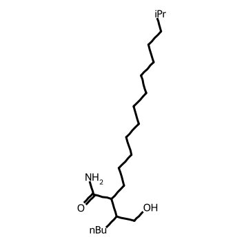 CCCCC(CO)C(CCCCCCCCCCCC(C)C)C(N)=O